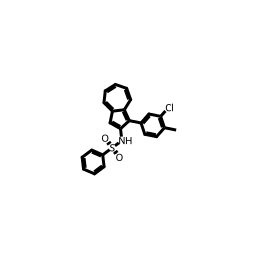 Cc1ccc(-c2c(NS(=O)(=O)c3ccccc3)cc3cccccc2-3)cc1Cl